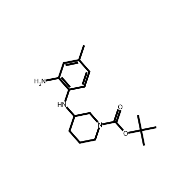 Cc1ccc(NC2CCCN(C(=O)OC(C)(C)C)C2)c(N)c1